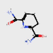 NC(=O)C1=CCCC(C(N)=O)=N1